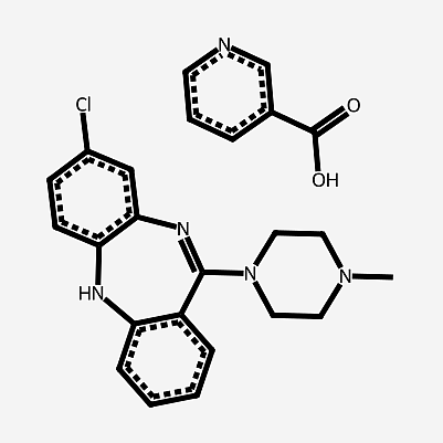 CN1CCN(C2=Nc3cc(Cl)ccc3Nc3ccccc32)CC1.O=C(O)c1cccnc1